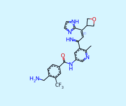 Cc1ncc(NC(=O)c2ccc(CN)c(C(F)(F)F)c2)cc1C(=N)/C=C(\c1ncc[nH]1)C1COC1